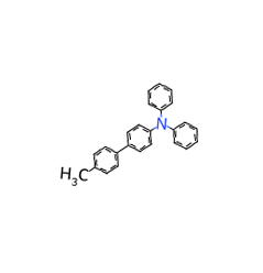 Cc1ccc(-c2ccc(N(c3ccccc3)c3ccccc3)cc2)cc1